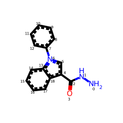 NNC(=O)c1cn(-c2ccccc2)c2ccccc12